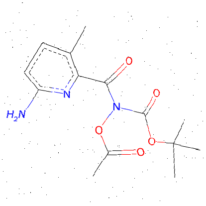 CC(=O)ON(C(=O)OC(C)(C)C)C(=O)c1nc(N)ccc1C